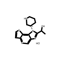 CC(O)c1nc2cnc3ccsc3c2n1[C@H]1CCCNC1.Cl